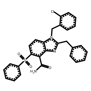 NC(=O)c1c(S(=O)(=O)c2ccccc2)ccc2c1nc(Cc1ccccc1)n2Cc1ccccc1Cl